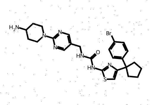 NC1CCN(c2ncc(CNC(=O)Nc3nc(C4(c5ccc(Br)cc5)CCCC4)cs3)cn2)CC1